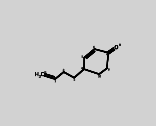 C=CCCC1C=CC(=O)CC1